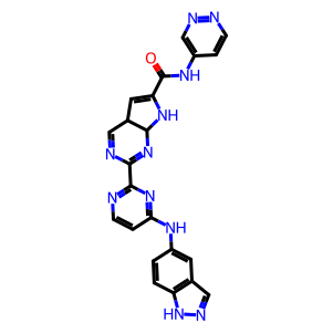 O=C(Nc1ccnnc1)C1=CC2C=NC(c3nccc(Nc4ccc5[nH]ncc5c4)n3)=NC2N1